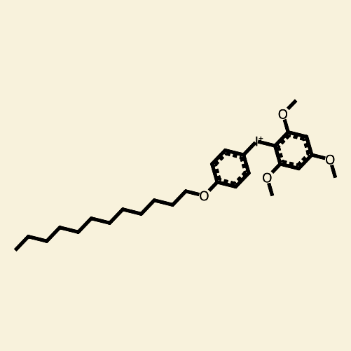 CCCCCCCCCCCCOc1ccc([I+]c2c(OC)cc(OC)cc2OC)cc1